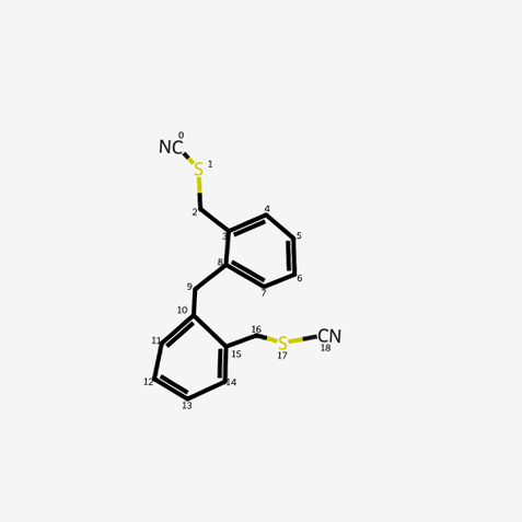 N#CSCc1ccccc1Cc1ccccc1CSC#N